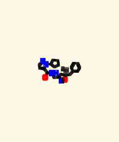 [2H]C1(Cc2ccccc2)CC(CNC(=O)c2ccnn2C2CCCC2)=NO1